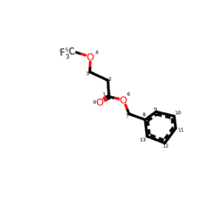 O=C(CCOC(F)(F)F)OCc1ccccc1